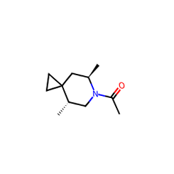 CC(=O)N1C[C@H](C)C2(CC2)C[C@H]1C